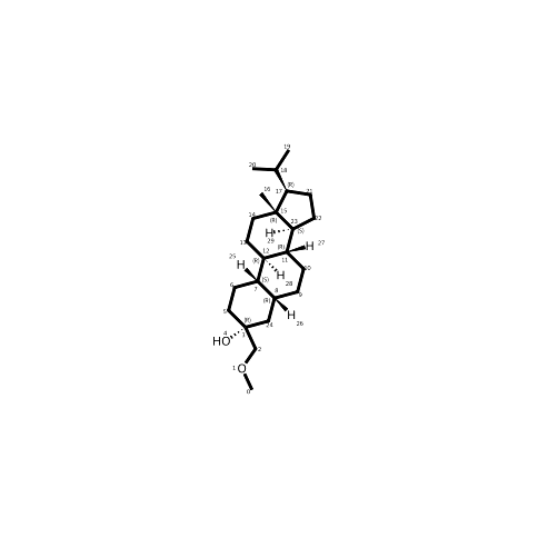 COC[C@@]1(O)CC[C@H]2[C@H](CC[C@@H]3[C@@H]2CC[C@]2(C)[C@@H](C(C)C)CC[C@@H]32)C1